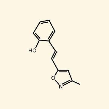 Cc1cc(/C=C/c2ccccc2O)on1